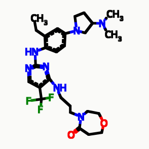 CCc1cc(N2CCC(N(C)C)C2)ccc1Nc1ncc(C(F)(F)F)c(NCCCN2CCOCCC2=O)n1